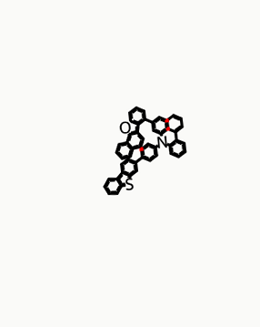 C1=CCCC(c2ccccc2N(c2ccc(-c3ccc4c(c3)sc3ccccc34)cc2)c2cccc(-c3cccc4oc5c6ccccc6ccc5c34)c2)=C1